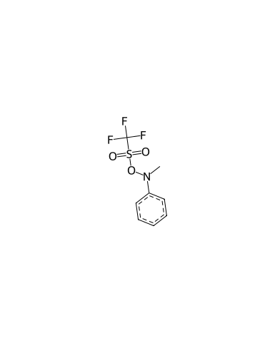 CN(OS(=O)(=O)C(F)(F)F)c1ccccc1